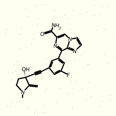 C=C1N(C)CC[C@@]1(O)C#Cc1cc(F)cc(-c2nc(C(N)=O)cn3ccnc23)c1